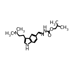 CC(C)COC(=O)NN=Cc1ccc2[nH]cc(CCN(C)C)c2c1